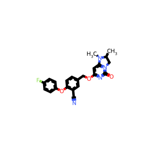 CC1Cn2c(cc(OCc3ccc(Oc4ccc(F)cc4)c(C#N)c3)nc2=O)N1C